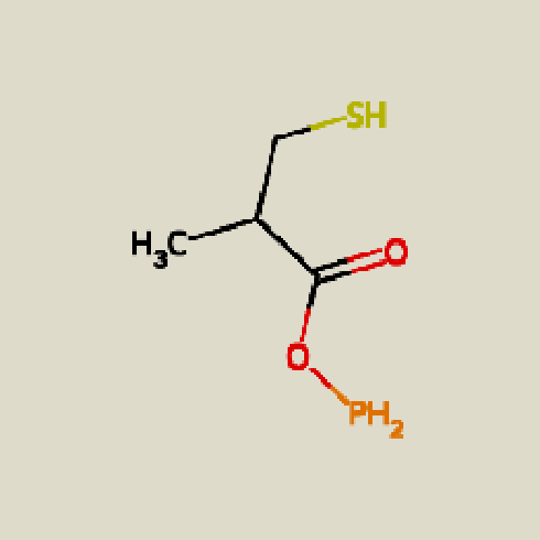 CC(CS)C(=O)OP